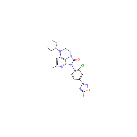 CCC(CC)N1CCn2c(=O)n(-c3ccc(-c4noc(C)n4)cc3Cl)c3nc(C)cc1c32